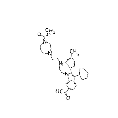 COC(=O)N1CCCN(CCN2CCn3c(c(C4CCCCC4)c4ccc(C(=O)O)cc43)-c3ccc(C)cc32)CC1